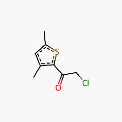 Cc1cc(C)c(C(=O)CCl)s1